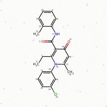 CCc1c(C(=O)Nc2ccccc2C)c(=O)cc(C)n1-c1cccc(Cl)c1